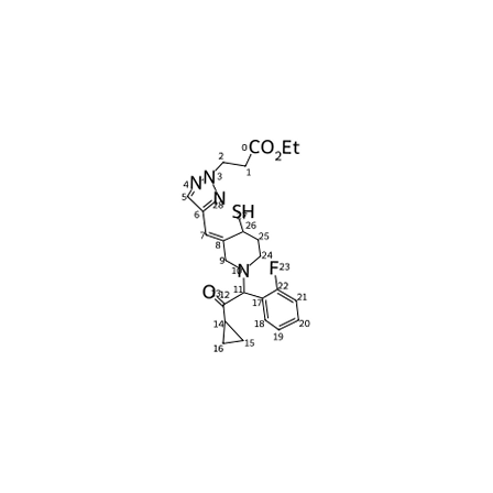 CCOC(=O)CCn1ncc(C=C2CN(C(C(=O)C3CC3)c3ccccc3F)CCC2S)n1